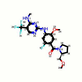 CNc1nc(Nc2cc(F)c(C(=O)N3CCC[C@H]3COC)cc2OC)ncc1C(F)(F)F